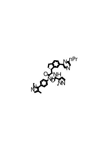 CCCc1cncc(-c2ccc3c(c2)[C@H]([C@H](NC(=O)c2ccnn2C)C(=O)Nc2ccc(-c4c(C)cnn4C)cc2)CC3)n1